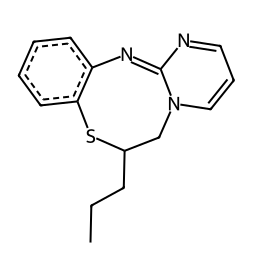 CCCC1CN2C=CC=N/C2=N/c2ccccc2S1